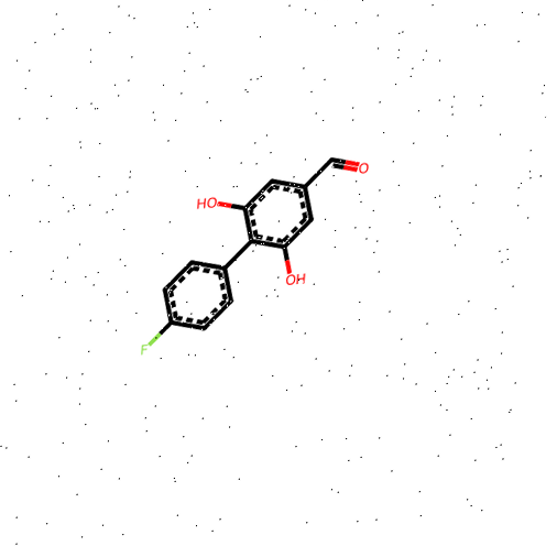 O=Cc1cc(O)c(-c2ccc(F)cc2)c(O)c1